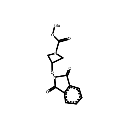 CC(C)(C)OC(=O)N1CC(ON2C(=O)c3ccccc3C2=O)C1